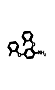 Cc1ccccc1Oc1ccc(N)c(Oc2ccccc2C)c1